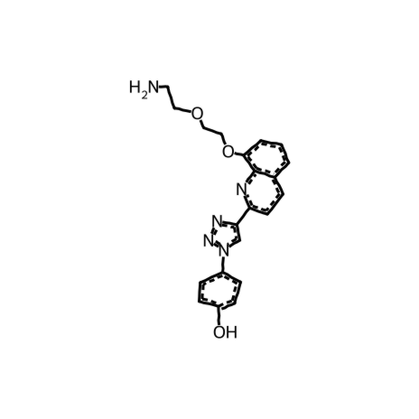 NCCOCCOc1cccc2ccc(-c3cn(-c4ccc(O)cc4)nn3)nc12